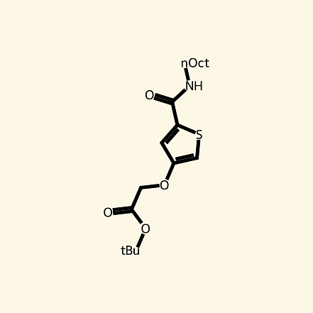 CCCCCCCCNC(=O)c1cc(OCC(=O)OC(C)(C)C)cs1